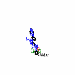 COc1ccc(Cl)c(NC(=O)N(C)c2cc(Nc3cccc(N4CCN(C)CC4)c3)ncn2)c1Cl